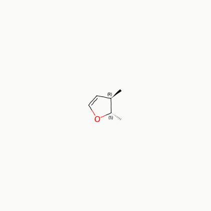 C[C@@H]1C=CO[C@H]1C